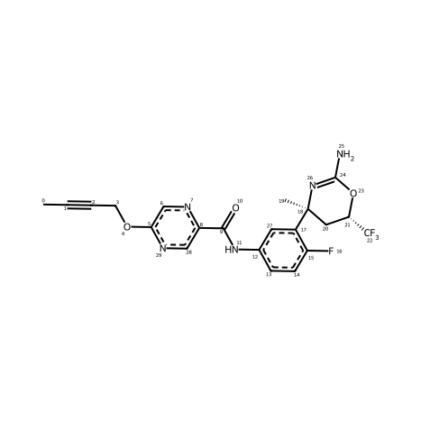 CC#CCOc1cnc(C(=O)Nc2ccc(F)c([C@]3(C)C[C@@H](C(F)(F)F)OC(N)=N3)c2)cn1